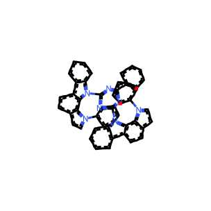 c1ccc(-c2nc(-n3c4ccccc4c4ccc5ccn(-c6ccccc6)c5c43)nc(-n3c4ccccc4c4ccc5ccn(-c6ccccc6)c5c43)n2)cc1